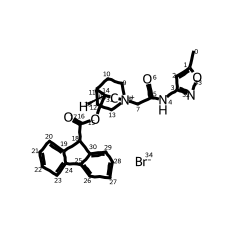 Cc1cc(NC(=O)C[N+]23CCC(CC2)[C@@H](OC(=O)C2c4ccccc4-c4ccccc42)C3)no1.[Br-]